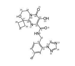 O=C(NCc1ccc(F)cc1-n1cncn1)c1nc2n(c(=O)c1O)CCOC21CCC1